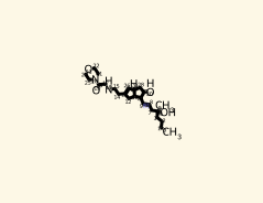 CCCC[C@](C)(O)C/C=C/C1C2CC(CCNCC(=O)N3CCOCC3)=C[C@H]2C[C@H]1O